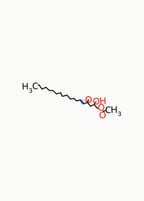 CCCCCCCCCCCCC/C=C/C(=O)CC(O)COC(C)=O